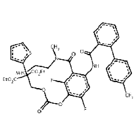 CCOC(=O)C(COC(=O)Oc1c(F)cc(NC(=O)c2ccccc2-c2ccc(C(F)(F)F)cc2)c(C(=O)N(C)CCOC)c1F)(C(=O)OCC)c1cccs1